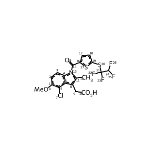 COc1ccc2c(c1Cl)c(CC(=O)O)c(C)n2C(=O)c1ccc(SC(F)(F)C(F)F)s1